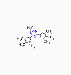 Cc1nc(-c2cc(C)c(C)c(C)c2)nc(-c2cc(C)c(C)c(C)c2)n1